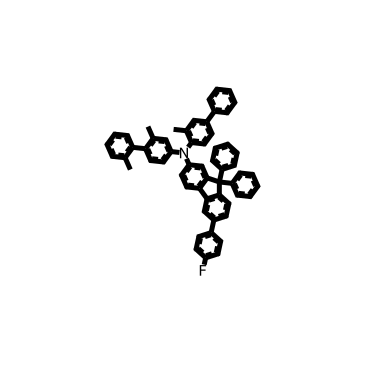 Cc1ccccc1-c1ccc(N(c2ccc3c(c2)C(c2ccccc2)(c2ccccc2)c2ccc(-c4ccc(F)cc4)cc2-3)c2ccc(-c3ccccc3)cc2C)cc1C